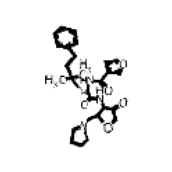 CC(C)(CCc1ccccc1)C[C@H](NC(=O)c1ccoc1)C(=O)NC1C(=O)COC1CN1CCCC1